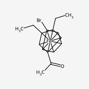 CC[C]12[CH]3[C]4(C(C)=O)[CH]5[C]1(CC)[Fe]35421678[CH]2[CH]1[CH]6[C]7(Br)[CH]28